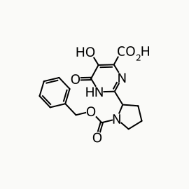 O=C(O)c1nc(C2CCCN2C(=O)OCc2ccccc2)[nH]c(=O)c1O